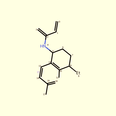 C=CC(=C)NC1CCC(CC)C(C)=C1/C=C\C(=C)C